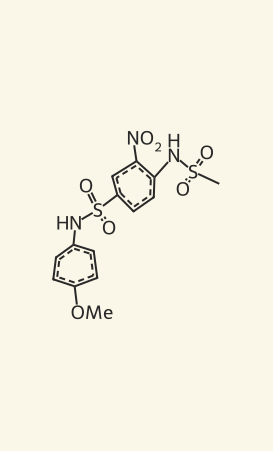 COc1ccc(NS(=O)(=O)c2ccc(NS(C)(=O)=O)c([N+](=O)[O-])c2)cc1